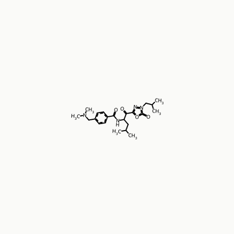 CC(C)CC(NC(=O)c1ccc(CN(C)C)cc1)C(=O)c1nn(CC(C)C)c(=O)o1